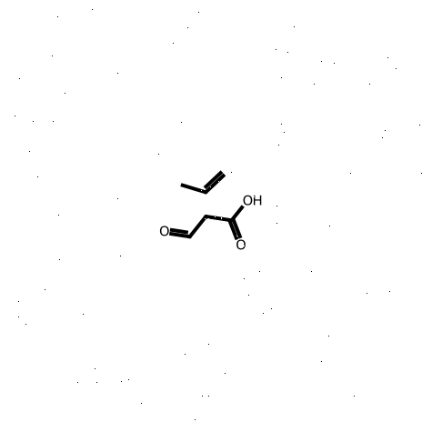 C=CC.O=CCC(=O)O